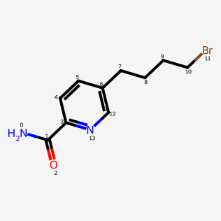 NC(=O)c1ccc(CCCCBr)cn1